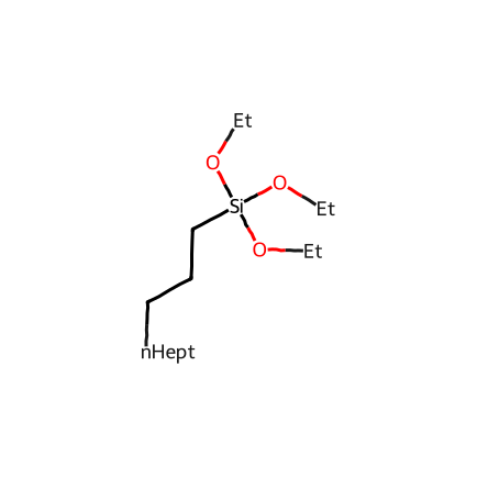 C[CH]CCCCCCCC[Si](OCC)(OCC)OCC